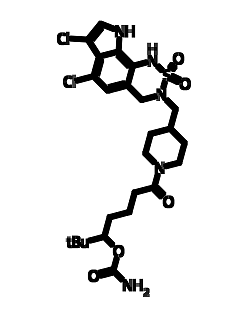 CC(C)(C)C(CCCC(=O)N1CCC(CN2Cc3cc(Cl)c4c(Cl)c[nH]c4c3NS2(=O)=O)CC1)OC(N)=O